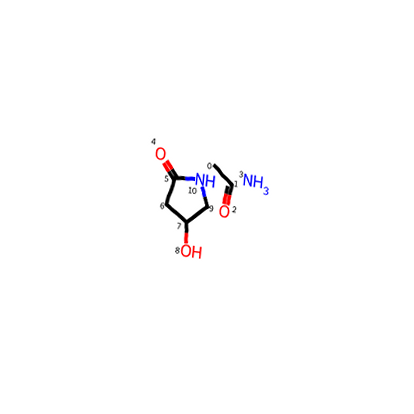 CC=O.N.O=C1CC(O)CN1